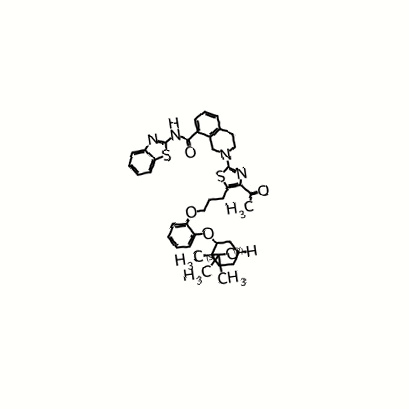 CC(=O)c1nc(N2CCc3cccc(C(=O)Nc4nc5ccccc5s4)c3C2)sc1CCCOc1ccccc1OC1C[C@@H]2CC[C@@]1(C)C(C)(C)C2